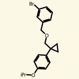 CC(C)Oc1ccc(C2(COCc3cccc(Br)c3)CC2)cc1